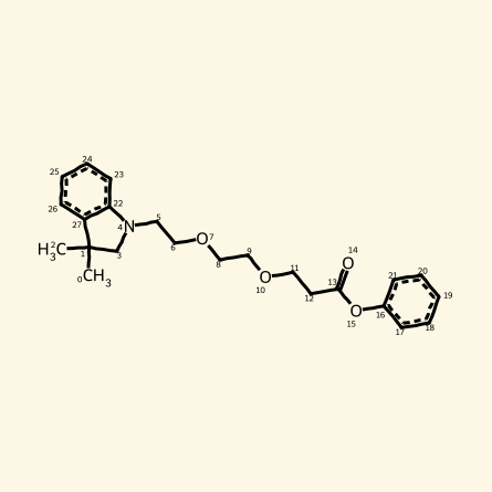 CC1(C)CN(CCOCCOCCC(=O)Oc2ccccc2)c2ccccc21